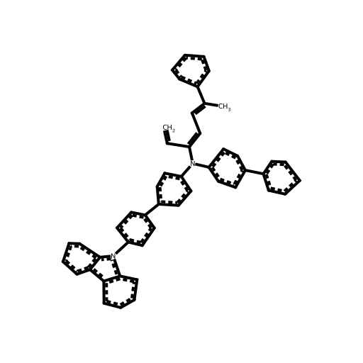 C=C/C(=C\C=C(/C)c1ccccc1)N(c1ccc(-c2ccccc2)cc1)c1ccc(-c2ccc(-n3c4ccccc4c4ccccc43)cc2)cc1